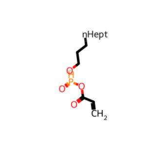 C=CC(=O)O[PH](=O)OCCCCCCCCCC